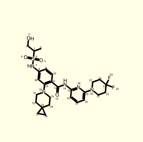 CC(CO)S(=O)(=O)Nc1ccc(C(=O)Nc2cccc(N3CCC(F)(F)CC3)n2)c(N2CCC3(CC2)CC3)c1